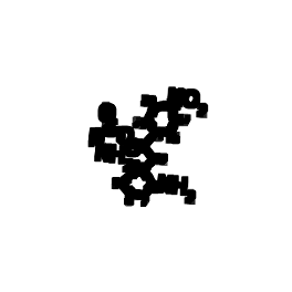 NN=S(=O)=O.Nc1ccccc1CC(=O)c1ccc([N+](=O)[O-])cc1